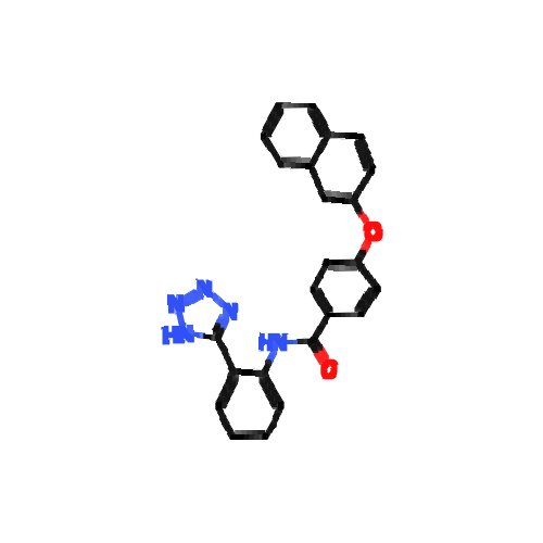 O=C(Nc1ccccc1-c1nnn[nH]1)c1ccc(Oc2ccc3ccccc3c2)cc1